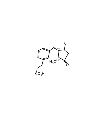 C[C@H]1C(=O)CC(Cl)[C@@H]1Cc1cccc(CCC(=O)O)c1